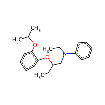 CCC(CN(CC)c1ccccc1)Oc1ccccc1OC(C)C